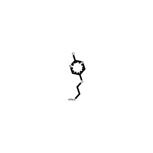 CCCCCCCCOc1cnc(Cl)nc1